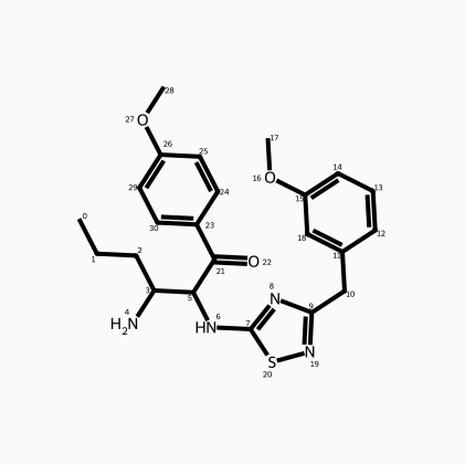 CCCC(N)C(Nc1nc(Cc2cccc(OC)c2)ns1)C(=O)c1ccc(OC)cc1